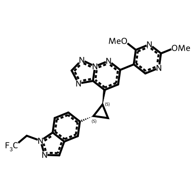 COc1ncc(-c2cc([C@H]3C[C@@H]3c3ccc4c(cnn4CC(F)(F)F)c3)c3ncnn3n2)c(OC)n1